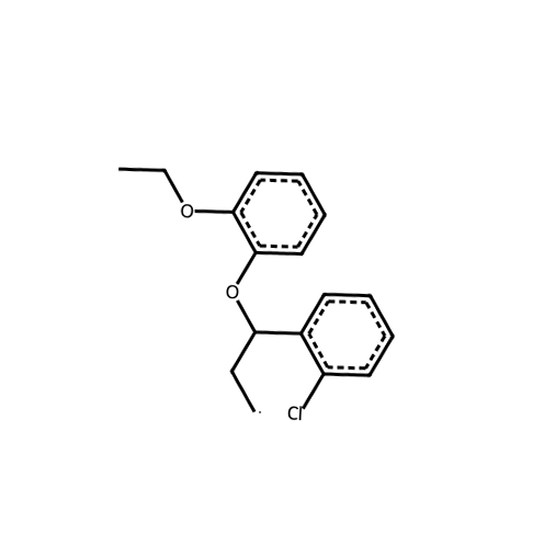 [CH2]CC(Oc1ccccc1OCC)c1ccccc1Cl